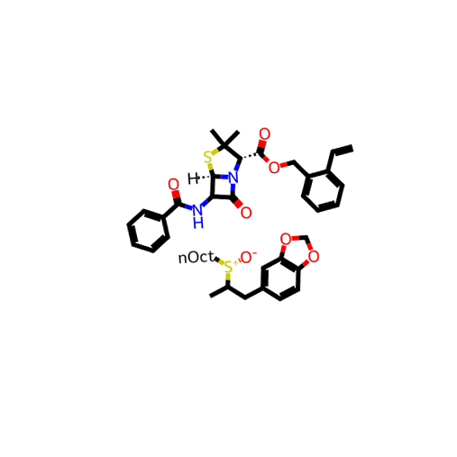 C=Cc1ccccc1COC(=O)[C@@H]1N2C(=O)C(NC(=O)c3ccccc3)[C@H]2SC1(C)C.CCCCCCCC[S+]([O-])C(C)Cc1ccc2c(c1)OCO2